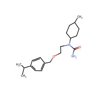 CC1CCC(N(CCOCc2ccc(C(C)C)cc2)C(N)=O)CC1